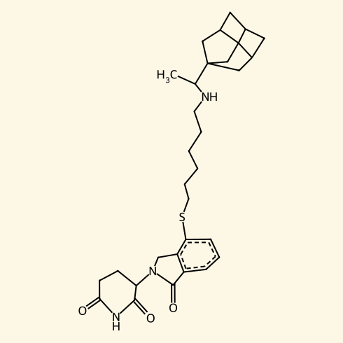 CC(NCCCCCCSc1cccc2c1CN(C1CCC(=O)NC1=O)C2=O)C12CC3CC4CC(C1)C43C2